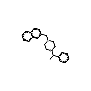 CC(c1ccccc1)N1CCN(Cc2ccc3ccccc3c2)CC1